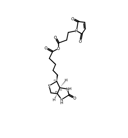 O=C1N[C@H]2[C@H](CS[C@H]2CCCCC(=O)OC(=O)CCN2C(=O)C=CC2=O)N1